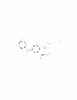 CC(=O)C(=N)c1cc(Nc2cncnc2)ccc1NCC(=O)O